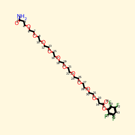 NC(=O)CCOCCOCCOCCOCCOCCOCCOCCOCCOCCOCCC(=O)Oc1c(F)c(F)cc(F)c1F